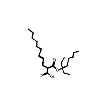 CCCCCCCCCC(C(=O)O)C(=O)OC(CC)(CC)CCCCC